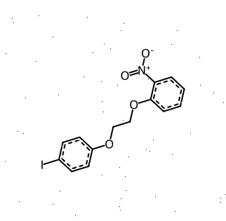 O=[N+]([O-])c1ccccc1OCCOc1ccc(I)cc1